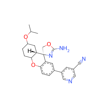 CC(C)OC1CCC2Oc3ccc(-c4cncc(C#N)c4)cc3[C@@]3(COC(N)=N3)[C@H]2C1